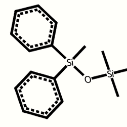 C[Si](C)(C)O[Si](C)(c1ccccc1)c1ccccc1